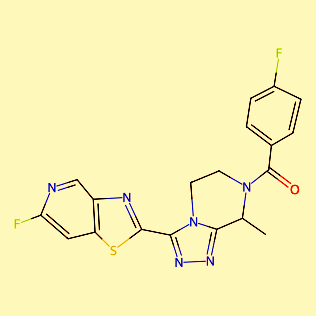 CC1c2nnc(-c3nc4cnc(F)cc4s3)n2CCN1C(=O)c1ccc(F)cc1